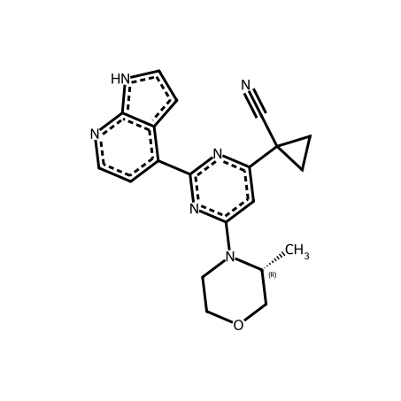 C[C@@H]1COCCN1c1cc(C2(C#N)CC2)nc(-c2ccnc3[nH]ccc23)n1